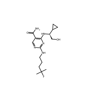 CC(C)(F)CCCNc1ncc(C(N)=O)c(N[C@H](CO)C2CC2)n1